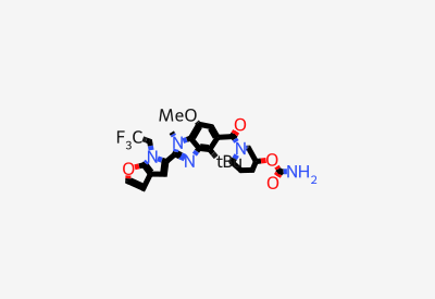 COc1cc(C(=O)N2CCCC(OC(N)=O)C2)c(C(C)(C)C)c2nc(-c3cc4ccoc4n3CC(F)(F)F)n(C)c12